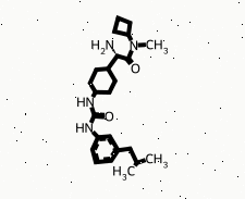 CC(C)Cc1cccc(NC(=O)NC2CCC([C@H](N)C(=O)N(C)C3CCC3)CC2)c1